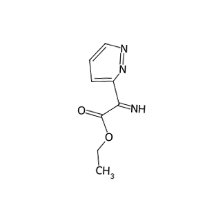 CCOC(=O)C(=N)c1cccnn1